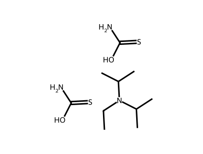 CCN(C(C)C)C(C)C.NC(O)=S.NC(O)=S